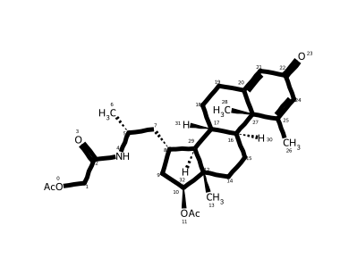 CC(=O)OCC(=O)N[C@H](C)C[C@H]1C[C@H](OC(C)=O)[C@@]2(C)CC[C@H]3[C@@H](CCC4=CC(=O)C=C(C)[C@@]43C)[C@H]12